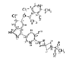 Cc1ncc(Cl)c(C(C)Oc2cc3c(-c4cnc(N5CC6(C5)CN(S(C)(=O)=O)C6)c(F)c4)n[nH]c3cc2Cl)c1Cl